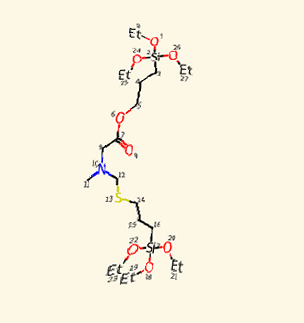 CCO[Si](CCCOC(=O)CN(C)CSCCC[Si](OCC)(OCC)OCC)(OCC)OCC